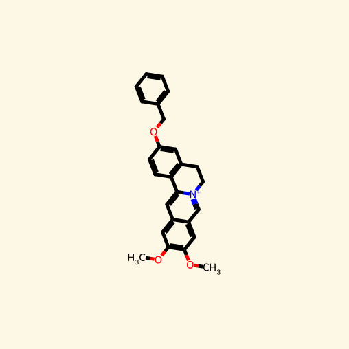 COc1cc2cc3[n+](cc2cc1OC)CCc1cc(OCc2ccccc2)ccc1-3